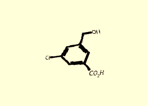 O=C(O)c1cc(Cl)cc(CO)c1